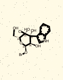 OC[C@H]1O[C@H](OBr)[C@H](O)[C@](O)(c2c[nH]c3ccccc23)[C@]1(O)Cl